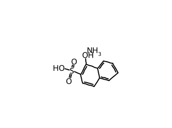 N.O=S(=O)(O)c1ccc2ccccc2c1O